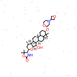 C[C@@H]1C[C@H]([C@@H]2NC(=O)OC2(C)C)O[C@H]2[C@H]1[C@@]1(C)CC[C@@]34C[C@@]35CC[C@H](O[C@H]3CN(C6COC6)CCO3)C(C)(C)[C@@H]5CC[C@H]4[C@]1(C)[C@H]2O